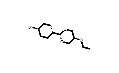 CCO[C@H]1CO[C@H]([C@H]2CC[C@H](Br)CC2)OC1